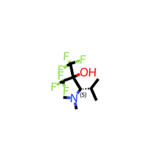 CC(C)[C@H](N(C)C)C(O)(C(F)(F)F)C(F)(F)F